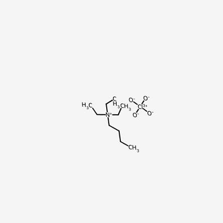 CCCC[N+](CC)(CC)CC.[O-][Cl+3]([O-])([O-])[O-]